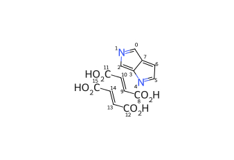 C1=NC=C2N=CC=C12.O=C(O)/C=C/C(=O)O.O=C(O)/C=C/C(=O)O